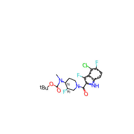 CN(C(=O)OC(C)(C)C)[C@H]1CCN(C(=O)c2[nH]c3ccc(F)c(Cl)c3c2F)C[C@H]1F